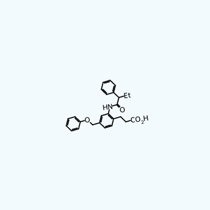 CCC(C(=O)Nc1cc(COc2ccccc2)ccc1CCC(=O)O)c1ccccc1